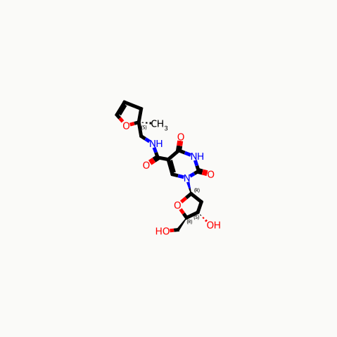 C[C@@]1(CNC(=O)c2cn([C@H]3C[C@H](O)[C@@H](CO)O3)c(=O)[nH]c2=O)CC=CO1